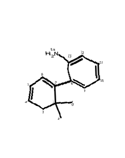 CC1(C)CC=CC=C1c1ccccc1N